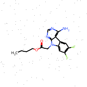 CCCCOC(=O)Cn1c2cc(F)c(F)cc2c2c(N)ncnc21